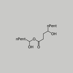 CCCCCC(O)CCC(=O)OC(O)CCCCC